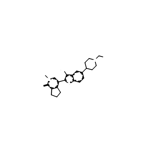 CC(C)c1c(-c2cn(C)c(=O)c3c2CCC3)[nH]c2ccc(C3CCN(CC(=O)O)CC3)cc12